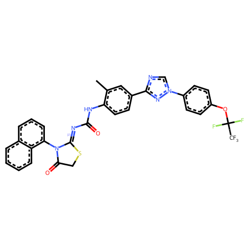 Cc1cc(-c2ncn(-c3ccc(OC(F)(F)C(F)(F)F)cc3)n2)ccc1NC(=O)/N=C1\SCC(=O)N1c1cccc2ccccc12